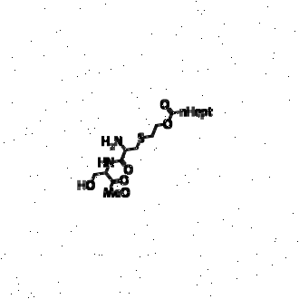 CCCCCCCC(=O)OCCSCC(N)C(=O)NC(CO)C(=O)OC